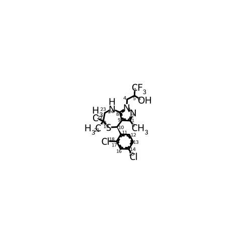 Cc1nn(CC(O)C(F)(F)F)c2c1[C@@H](c1ccc(Cl)cc1Cl)SC(C)(C)CN2